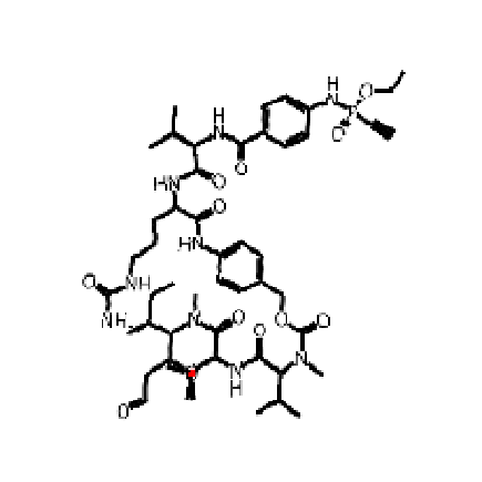 C#CP(=O)(Nc1ccc(C(=O)NC(C(=O)NC(CCCNC(N)=O)C(=O)Nc2ccc(COC(=O)N(C)C(C(=O)NC(C(=O)N(C)C(C(C)CC)C(CC=O)OC)C(C)C)C(C)C)cc2)C(C)C)cc1)OCC